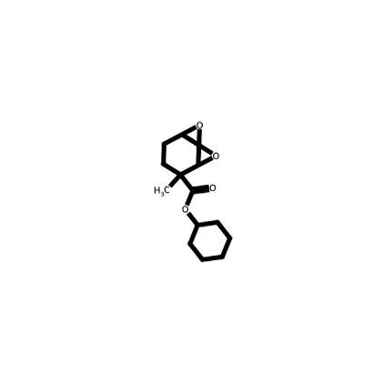 CC1(C(=O)OC2CCCCC2)CCC2OC23OC13